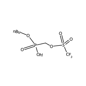 CCCCOP(=O)(O)COS(=O)(=O)C(F)(F)F